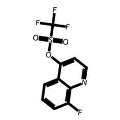 O=S(=O)(Oc1ccnc2c(F)cccc12)C(F)(F)F